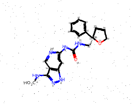 O=C(O)Nc1n[nH]c2cc(NC(=O)NC[C@]3(c4ccccc4)CCCO3)ncc12